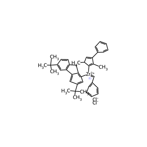 CC1=[C](/[Zr+2](=[CH]/c2ccccc2)[c]2cc(C(C)(C)C)cc3c2Cc2ccc(C(C)(C)C)cc2-3)C(C)C=C1c1ccccc1.[Cl-].[Cl-]